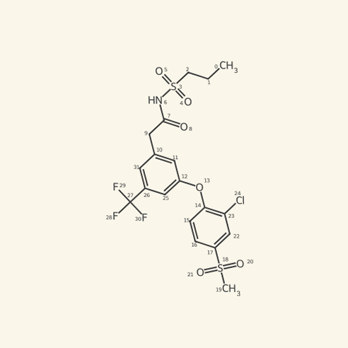 CCCS(=O)(=O)NC(=O)Cc1cc(Oc2ccc(S(C)(=O)=O)cc2Cl)cc(C(F)(F)F)c1